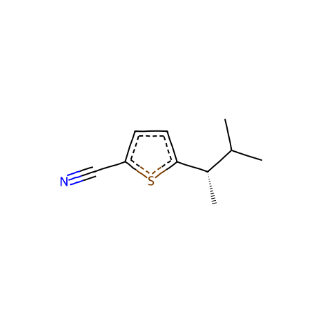 CC(C)[C@H](C)c1ccc(C#N)s1